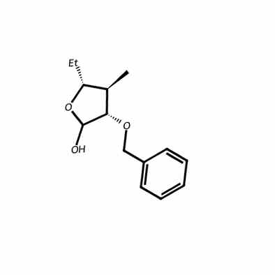 CC[C@H]1OC(O)[C@@H](OCc2ccccc2)[C@@H]1C